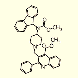 COC(=O)c1c(CN2CCC(N(C(=O)OC)C3c4ccccc4-c4ccccc43)CC2)c(-c2ccccc2)nc2ccccc12